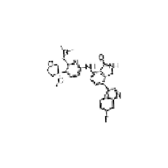 CO[C@]1(c2ccc(Nc3ccc(-c4cnc5cc(F)ccn45)c4c3C(=O)NC4)nc2CN(C)C)CCOC1